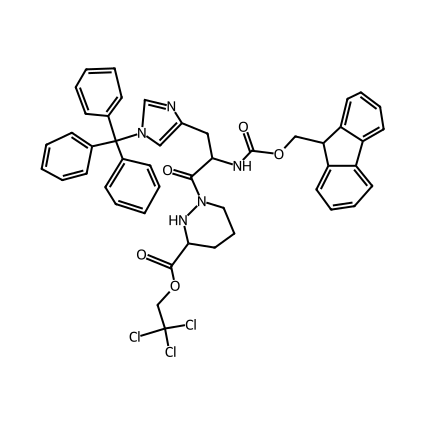 O=C(NC(Cc1cn(C(c2ccccc2)(c2ccccc2)c2ccccc2)cn1)C(=O)N1CCCC(C(=O)OCC(Cl)(Cl)Cl)N1)OCC1c2ccccc2-c2ccccc21